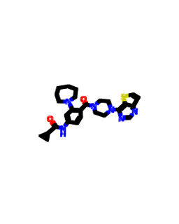 O=C(Nc1ccc(C(=O)N2CCN(c3ncnc4ccsc34)CC2)c(N2CCCCCC2)c1)C1CC1